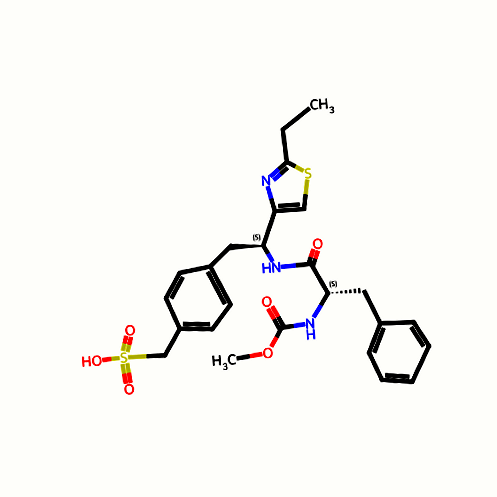 CCc1nc([C@H](Cc2ccc(CS(=O)(=O)O)cc2)NC(=O)[C@H](Cc2ccccc2)NC(=O)OC)cs1